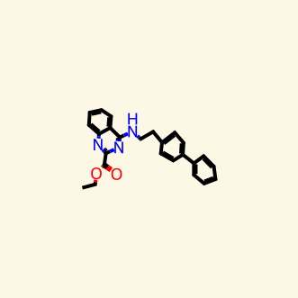 CCOC(=O)c1nc(NCCc2ccc(-c3ccccc3)cc2)c2ccccc2n1